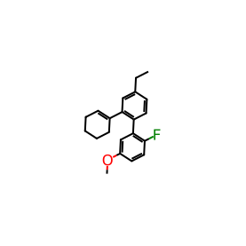 CCc1ccc(-c2cc(OC)ccc2F)c(C2=CCCCC2)c1